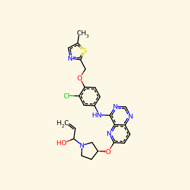 C=CC(O)N1CC[C@H](Oc2ccc3ncnc(Nc4ccc(OCc5ncc(C)s5)c(Cl)c4)c3n2)C1